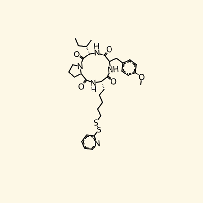 CCC(C)[C@@H]1NC(=O)C(Cc2ccc(OC)cc2)NC(=O)[C@H](CCCCCSSc2ccccn2)NC(=O)C2CCCN2C1=O